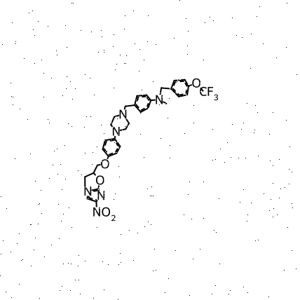 CN(Cc1ccc(OC(F)(F)F)cc1)c1ccc(CN2CCN(c3ccc(OCC4CCn5cc([N+](=O)[O-])nc5O4)cc3)CC2)cc1